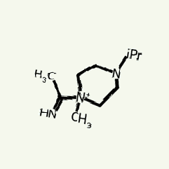 CC(=N)[N+]1(C)CCN(C(C)C)CC1